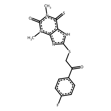 Cn1c(=S)c2[nH]c(SCC(=O)c3ccc(F)cc3)nc2n(C)c1=O